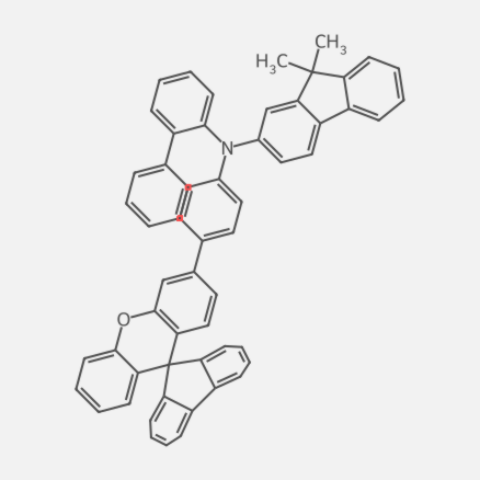 CC1(C)c2ccccc2-c2ccc(N(c3ccc(-c4ccc5c(c4)Oc4ccccc4C54c5ccccc5-c5ccccc54)cc3)c3ccccc3-c3ccccc3)cc21